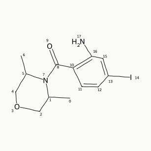 CC1COCC(C)N1C(=O)c1ccc(I)cc1N